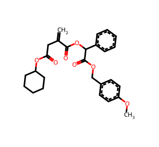 C=C(CC(=O)OC1CCCCC1)C(=O)OC(C(=O)OCc1ccc(OC)cc1)c1ccccc1